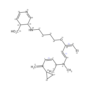 C=C(/C=C\C(C)N(C)/C=C/C(=C\CC)OCCCCNC1C=NC=CC1C(=O)O)C1CC1